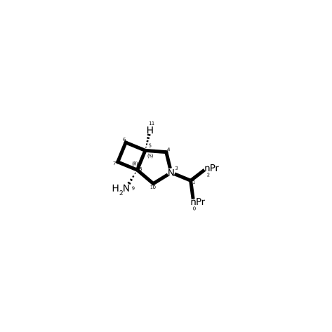 CCCC(CCC)N1C[C@@H]2CC[C@]2(N)C1